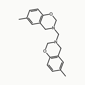 Cc1ccc2c(c1)CN(CN1COc3ccc(C)cc3C1)CO2